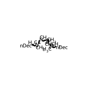 CCCCCCCCCCCC[N+](C)(C)CCN(C)CC[N+](C)(C)CC[N+](C)(C)CCCCCCCCCCCC